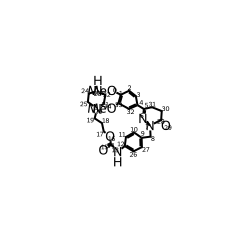 COc1ccc(C2=NN(Cc3ccc(NC(=O)OCCCN4CCNCC4)cc3)C(=O)CC2)cc1OC